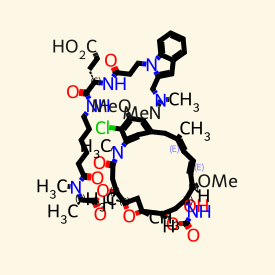 CNN(C)Cc1cc2ccccc2n1CCC(=O)N[C@@H](CCC(=O)O)C(=O)NCCCCCC(=O)N(C)[C@@H](C)C(=O)O[C@H]1CC(=O)N(C)c2cc(cc(OC)c2Cl)C/C(C)=C/C=C/[C@@H](OC)[C@@]2(O)C[C@H](OC(=O)N2)C2(C)C[C@@]1(C)O2